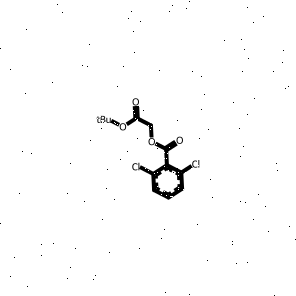 CC(C)(C)OC(=O)COC(=O)c1c(Cl)cccc1Cl